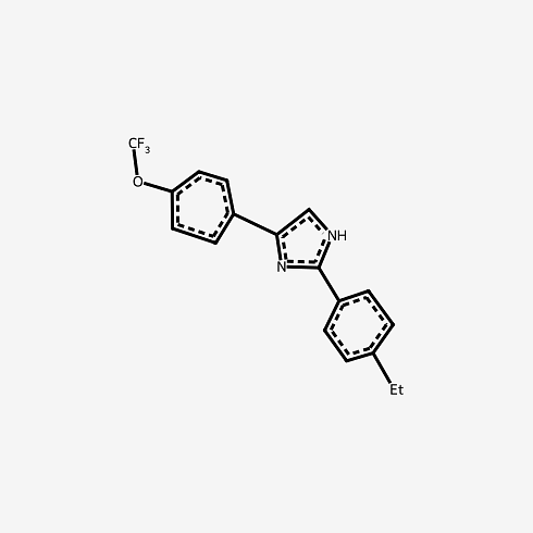 CCc1ccc(-c2nc(-c3ccc(OC(F)(F)F)cc3)c[nH]2)cc1